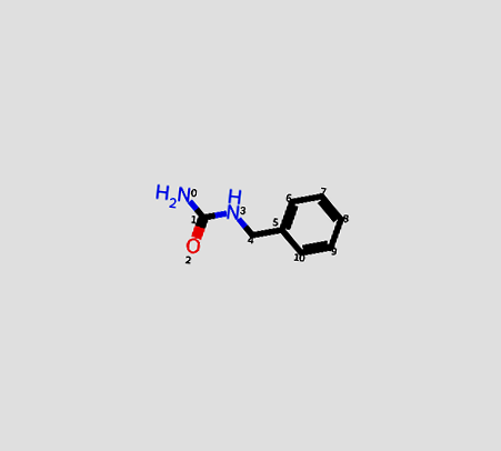 NC(=O)N[CH]c1ccccc1